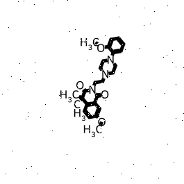 COc1ccc2c(c1)C(=O)N(CCN1CCN(c3ccccc3OC)CC1)C(=O)C2(C)C